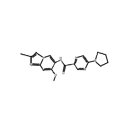 COc1cc2nc(C)cn2cc1NC(=O)c1cnc(N2CCCC2)cn1